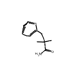 CC(C)([CH]c1ccccn1)C(N)=O